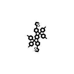 Cc1ccc(C2(c3ccc(C)cc3)c3cc(-c4cccs4)ccc3-c3cc4c(cc32)-c2ccc(-c3cccs3)cc2C4(c2ccc(C)cc2)c2ccc(C)cc2)cc1